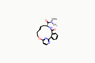 CON(C)C(=O)[C@@H]1C/C=C/CCOc2ccnc(n2)-c2ccccc2C(=O)N1